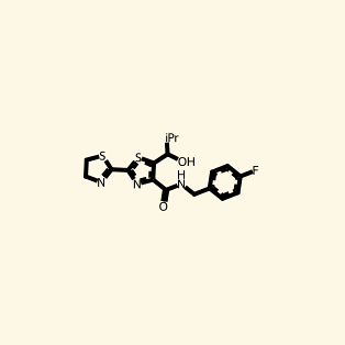 CC(C)C(O)c1sc(C2=NCCS2)nc1C(=O)NCc1ccc(F)cc1